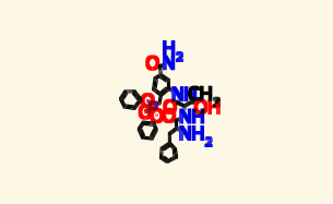 CC(O)C(NC(=O)C(N)Cc1ccccc1)C(=O)Nc1cc(C(N)=O)ccc1CP(=O)(Oc1ccccc1)Oc1ccccc1